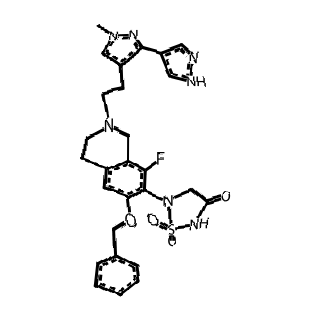 Cn1cc(CCN2CCc3cc(OCc4ccccc4)c(N4CC(=O)NS4(=O)=O)c(F)c3C2)c(-c2cn[nH]c2)n1